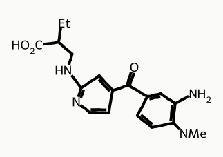 CCC(CNc1cc(C(=O)c2ccc(NC)c(N)c2)ccn1)C(=O)O